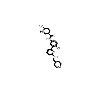 O=C(Nc1cc(-c2cccc(NCC3CCOCC3)n2)c(Cl)cn1)[C@@H]1CC[C@H](C(F)(F)F)NC1